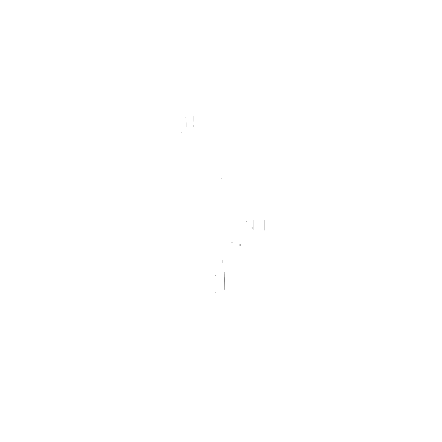 NCCCCCCNS(=O)(=O)c1ccc(F)cc1F